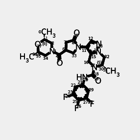 C[C@@H]1CN(C(=O)C2CC(=O)N(c3cnn4c3CN(C(=O)Nc3cc(F)c(F)c(F)c3)[C@@H](C)C4)C2)C[C@H](C)O1